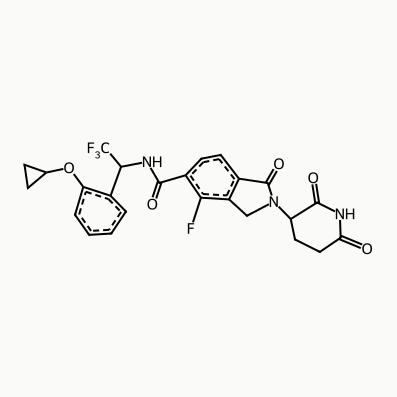 O=C1CCC(N2Cc3c(ccc(C(=O)NC(c4ccccc4OC4CC4)C(F)(F)F)c3F)C2=O)C(=O)N1